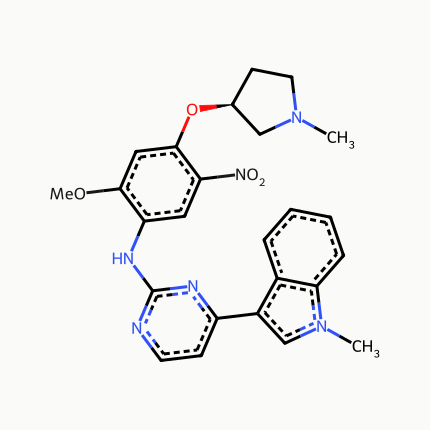 COc1cc(O[C@H]2CCN(C)C2)c([N+](=O)[O-])cc1Nc1nccc(-c2cn(C)c3ccccc23)n1